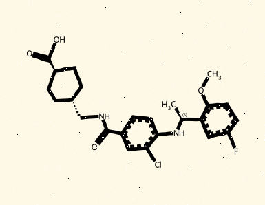 COc1ccc(F)cc1[C@H](C)Nc1ccc(C(=O)NC[C@H]2CC[C@H](C(=O)O)CC2)cc1Cl